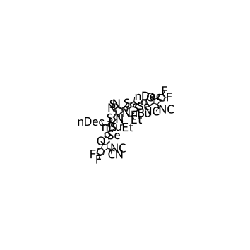 [C-]#[N+]/C(C#N)=C1\C(=C\c2ccc(-c3sc4c(sc5c6c7nsnc7c7c8sc9c(CCCCCCCCCCC)c(-c%10ccc(/C=C%11\C(=O)c%12cc(F)c(F)cc%12\C%11=C(\C#N)[N+]#[C-])[se]%10)sc9c8n(CC(CC)CCCC)c7c6n(CC(CC)CCCC)c45)c3CCCCCCCCCCC)[se]2)C(=O)c2cc(F)c(F)cc21